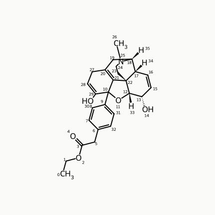 CCOC(=O)Cc1ccc(C23O[C@H]4[C@@H](O)C=C[C@H]5[C@H]6CC(=C2[C@]54CCN6C)CC=C3O)cc1